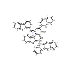 C=N/C(=N\C(=N/c1cccc2c1oc1ccccc12)c1ccc(-n2c3ccccc3c3cc4ccccc4cc32)c2oc3ccccc3c12)c1ccc2ccccc2c1